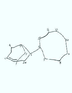 C1=C2CC(C1)C(C1CCCCCCC1)C2